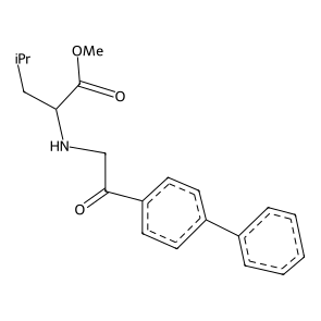 COC(=O)C(CC(C)C)NCC(=O)c1ccc(-c2ccccc2)cc1